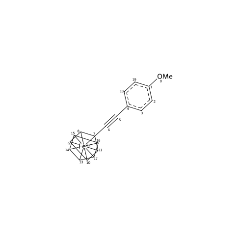 COc1ccc(C#C[C]23[CH]4[CH]5[CH]6[CH]2[Fe]56432789[CH]3[CH]2[CH]7[CH]8[CH]39)cc1